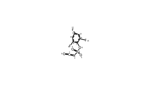 O=C=NS(=O)(=O)Oc1c(F)cc(F)cc1F